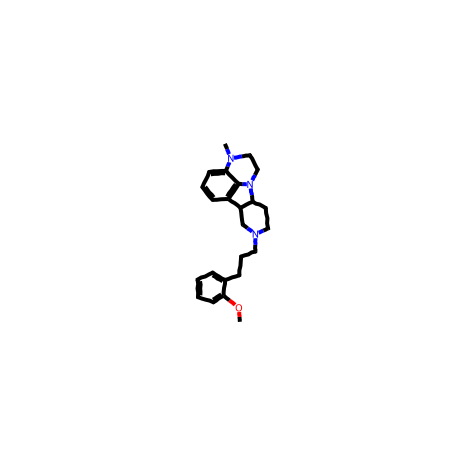 COc1ccccc1CCCN1CCC2C(C1)c1cccc3c1N2CCN3C